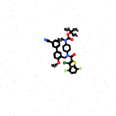 COc1ccc(-c2cccc(C#N)c2)cc1CN(C(=O)c1sc2c(F)ccc(F)c2c1Cl)C1CCC(N(C)C(=O)OC(C)(C)C)CC1